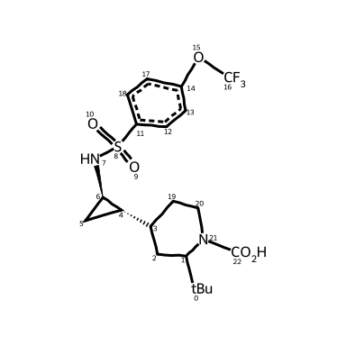 CC(C)(C)C1CC([C@@H]2C[C@H]2NS(=O)(=O)c2ccc(OC(F)(F)F)cc2)CCN1C(=O)O